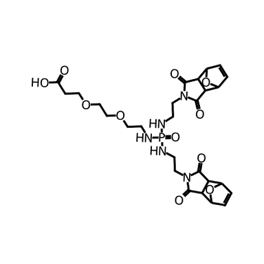 O=C(O)CCOCCOCCNP(=O)(NCCN1C(=O)C2C3C=CC(O3)C2C1=O)NCCN1C(=O)C2C3C=CC(O3)C2C1=O